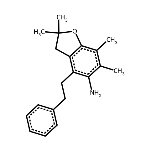 Cc1c(C)c2c(c(CCc3ccccc3)c1N)CC(C)(C)O2